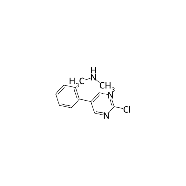 CNC.Clc1ncc(-c2ccccc2)cn1